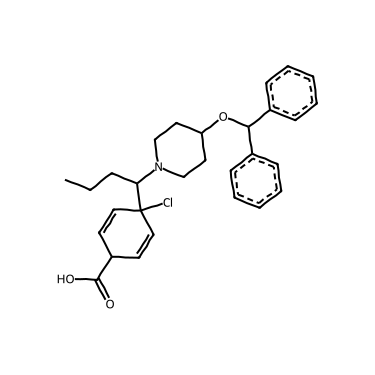 CCCC(N1CCC(OC(c2ccccc2)c2ccccc2)CC1)C1(Cl)C=CC(C(=O)O)C=C1